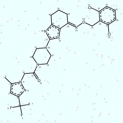 Cc1cc(C(F)(F)F)nn1CC(=O)N1CCN(c2nc3c(s2)C(=NOCc2c(Cl)cccc2Cl)CCC3)CC1